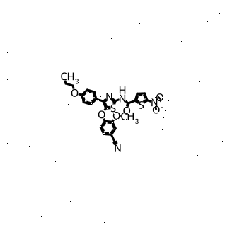 CCCOc1ccc(-c2nc(NC(=O)c3ccc([N+](=O)[O-])s3)sc2Oc2ccc(C#N)cc2OC)cc1